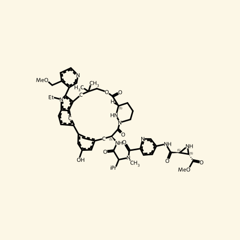 CCn1c(-c2cnccc2COC)c2c3cc(ccc31)-c1cc(O)cc(c1)C[C@H](NC(=O)C(C(C)C)N(C)C(=O)c1ccc(NC(=O)[C@H]3N[C@@H]3C(=O)OC)cn1)C(=O)N1CCC[C@H](N1)C(=O)OCC(C)(C)C2